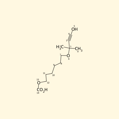 CC(C)(C#CO)OCCCCCCOC(=O)O